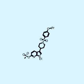 CCn1cc(C2CCN(S(=O)(=O)c3ccc(OC(C)C)cc3)CC2)c2ccc(OS(C)(=O)=O)nc21